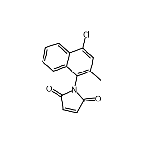 Cc1cc(Cl)c2ccccc2c1N1C(=O)C=CC1=O